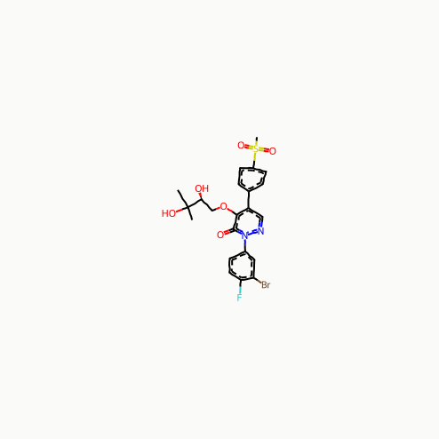 CC(C)(O)[C@@H](O)COc1c(-c2ccc(S(C)(=O)=O)cc2)cnn(-c2ccc(F)c(Br)c2)c1=O